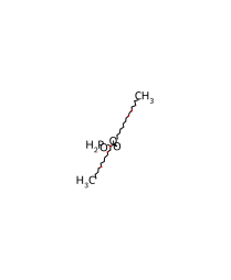 CCCCCCCCCCCCCCCCOC(=O)C(CCCCCCCCCCCC)COP